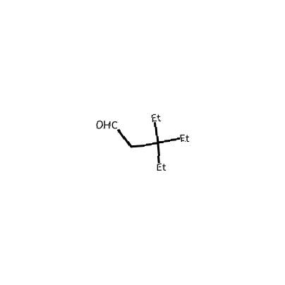 CCC(CC)(CC)CC=O